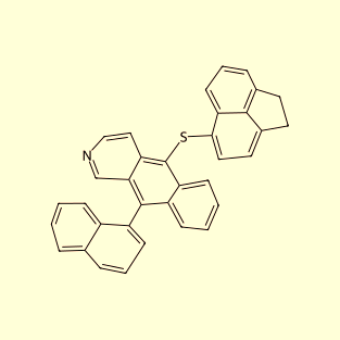 c1ccc2c(-c3c4ccccc4c(Sc4ccc5c6c(cccc46)CC5)c4ccncc34)cccc2c1